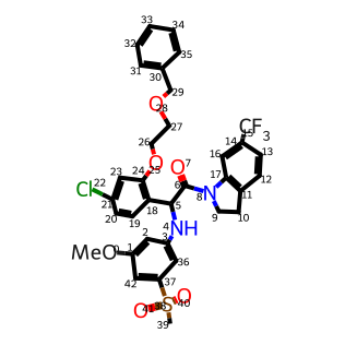 COc1cc(NC(C(=O)N2CCc3ccc(C(F)(F)F)cc32)c2ccc(Cl)cc2OCCOCc2ccccc2)cc(S(C)(=O)=O)c1